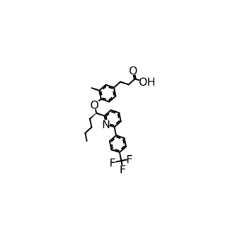 CCCC[C@@H](Oc1ccc(CCC(=O)O)cc1C)c1cccc(-c2ccc(C(F)(F)F)cc2)n1